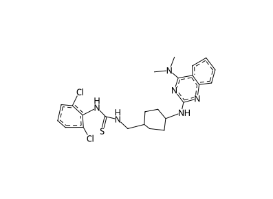 CN(C)c1nc(NC2CCC(CNC(=S)Nc3c(Cl)cccc3Cl)CC2)nc2ccccc12